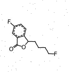 O=C1OC(CCCCF)c2ccc(F)cc21